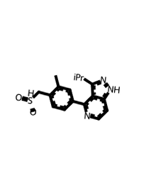 Cc1cc(-c2nccc3[nH]nc(C(C)C)c23)ccc1C[SH](=O)=O